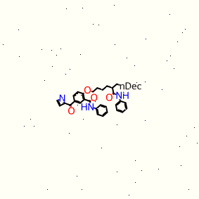 CCCCCCCCCCCC(CCCCOc1ccc(C(=O)C2=NC=C2)cc1C(=O)Nc1ccccc1)C(=O)Nc1ccccc1